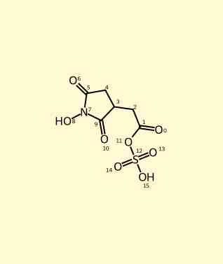 O=C(CC1CC(=O)N(O)C1=O)OS(=O)(=O)O